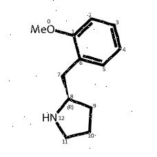 COc1ccccc1C[C@H]1CCCN1